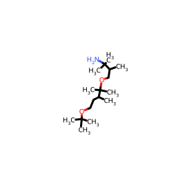 CC(COC(C)(C)C(C)CCOC(C)(C)C)C(C)(C)N